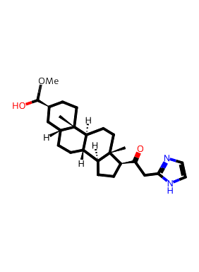 COC(O)[C@H]1CC[C@@]2(C)[C@H](CC[C@@H]3[C@@H]2CC[C@]2(C)[C@@H](C(=O)Cc4ncc[nH]4)CC[C@@H]32)C1